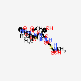 CCCC(=O)OCN(C(=O)CNC(=O)C1CCCCN1C)[C@H](C[C@H](OC(C)=O)c1nc(C(=O)N[C@@H](Cc2ccc(O)cc2)C[C@H](C)C(=O)NNC(=O)OCCSSC[C@@H](NC(C)=O)C(=O)O)cs1)C(C)C